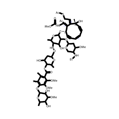 CCNC1COC(OC2C(O[C@H]3C#C/C=C\C#C[C@@](C)(O)C(=C/CSC(C)=O)/C3=C(/NC(=O)OC)C(C)=O)OC(C)C(NOC3CC(O)C(SC(=O)c4c(C)c(I)c(OC5OC(C)C(O)C(OC)C5O)c(OC)c4OC)C(C)O3)C2O)CC1OC